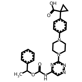 CC(OC(=O)Nc1cnnc(N2CCN(c3ccc(C4(C(=O)O)CC4)cc3)CC2)n1)c1ccccc1